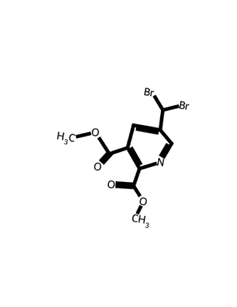 COC(=O)c1cc(C(Br)Br)cnc1C(=O)OC